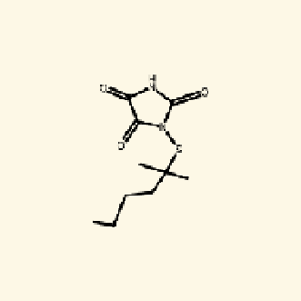 CCCCC(C)(C)SN1C(=O)NC(=O)C1=O